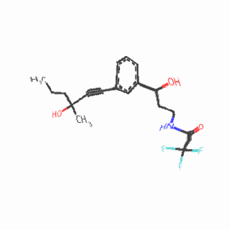 CCCC(C)(O)C#Cc1cccc(C(O)CCNC(=O)C(F)(F)F)c1